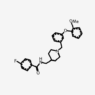 COc1ccccc1Oc1cccc(CN2CCC(CNC(=O)c3ccc(F)cc3)CC2)c1